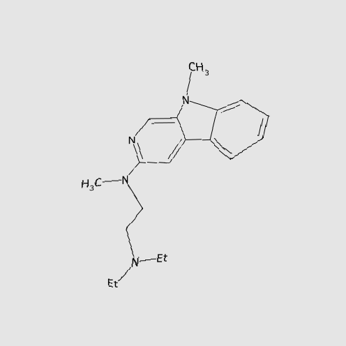 CCN(CC)CCN(C)c1cc2c3ccccc3n(C)c2cn1